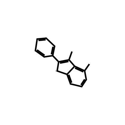 CC1=C(c2ccccc2)[CH]c2cccc(C)c21